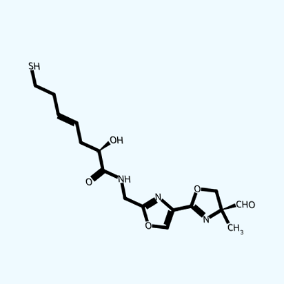 C[C@@]1(C=O)COC(c2coc(CNC(=O)[C@H](O)C/C=C/CCS)n2)=N1